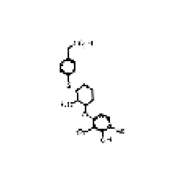 CCCc1c(O[C@@H]2CCC[C@@H](Sc3ccc(CC(=O)O)cc3)[C@@H]2O)ccc(C(C)=O)c1O